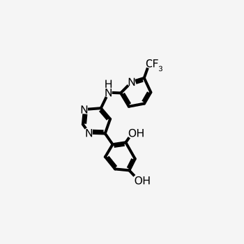 Oc1ccc(-c2cc(Nc3cccc(C(F)(F)F)n3)ncn2)c(O)c1